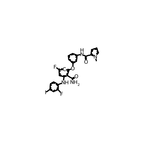 Cn1cccc1C(=O)Nc1cccc(Oc2cc(F)cc(Nc3ccc(I)cc3F)c2C(N)=O)c1